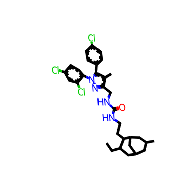 CCC1CC2CC(C)CC(C2)C1CCNC(=O)NCc1nn(-c2ccc(Cl)cc2Cl)c(-c2ccc(Cl)cc2)c1C